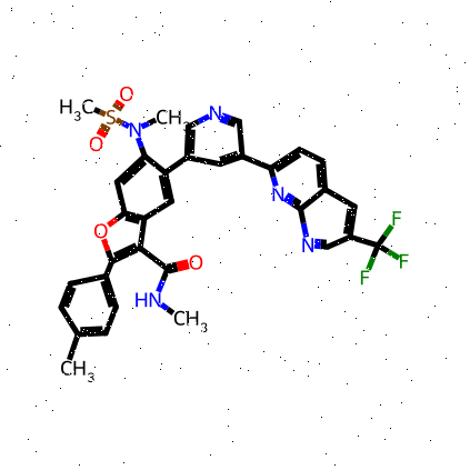 CNC(=O)c1c(-c2ccc(C)cc2)oc2cc(N(C)S(C)(=O)=O)c(-c3cncc(-c4ccc5cc(C(F)(F)F)cnc5n4)c3)cc12